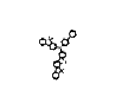 CC1(C)c2ccccc2-c2ccc(N(c3ccc(-c4ccccc4)cc3)c3ccc4oc5c6c(ccc5c4c3)-c3ccccc3C6(C)C)cc21